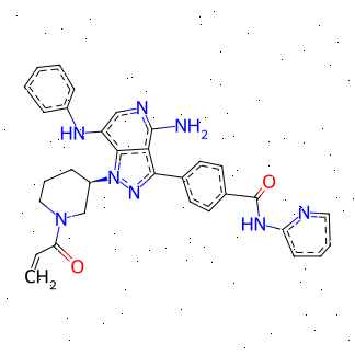 C=CC(=O)N1CCC[C@@H](n2nc(-c3ccc(C(=O)Nc4ccccn4)cc3)c3c(N)ncc(Nc4ccccc4)c32)C1